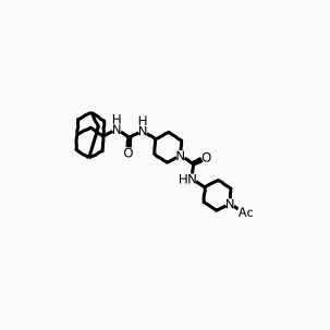 CC(=O)N1CCC(NC(=O)N2CCC(NC(=O)NC34CC5CC(CC(C5)C3)C4)CC2)CC1